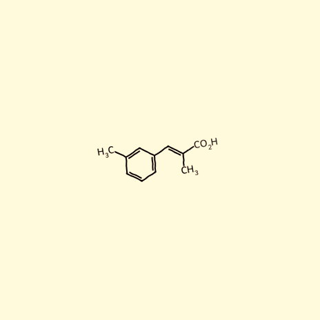 CC(=Cc1cccc(C)c1)C(=O)O